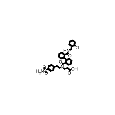 NS(=O)(=O)c1ccc(CCN(CCC(=O)O)C(=O)c2ccccc2-c2ccccc2C(=O)NCc2ccccc2Cl)cc1